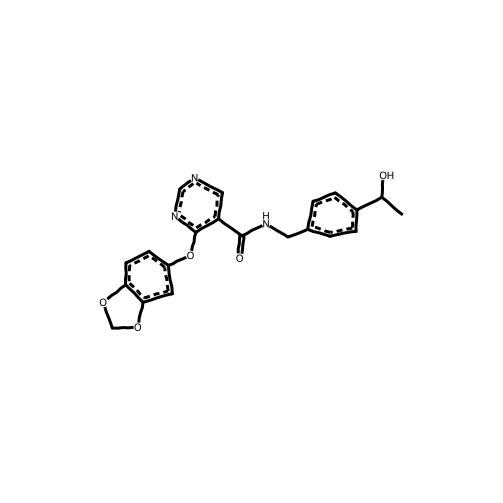 CC(O)c1ccc(CNC(=O)c2cncnc2Oc2ccc3c(c2)OCO3)cc1